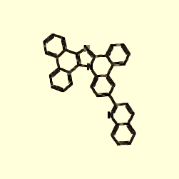 c1ccc2nc(-c3ccc4c(c3)c3ccccc3c3nc5c6ccccc6c6ccccc6c5n43)ccc2c1